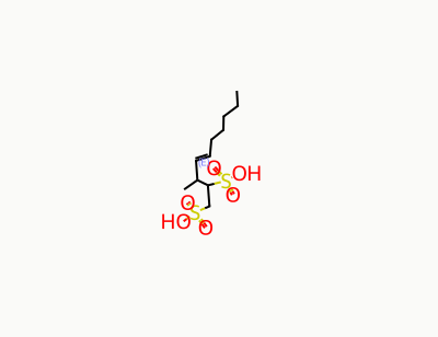 CCCCC/C=C/C(C)C(CS(=O)(=O)O)S(=O)(=O)O